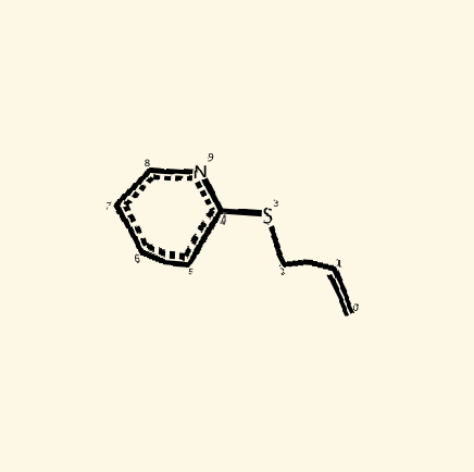 C=C[CH]Sc1ccccn1